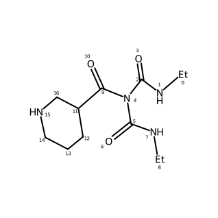 CCNC(=O)N(C(=O)NCC)C(=O)C1CCCNC1